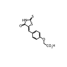 O=C(O)COc1ccc(/C=C2\SC(=S)NC2=O)cc1